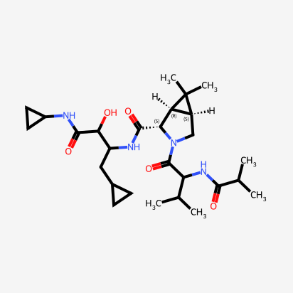 CC(C)C(=O)NC(C(=O)N1C[C@H]2[C@@H]([C@H]1C(=O)NC(CC1CC1)C(O)C(=O)NC1CC1)C2(C)C)C(C)C